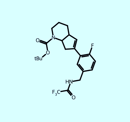 CC(C)(C)OC(=O)N1CCCC2C=C(c3cc(CNC(=O)C(F)(F)F)ccc3F)CC21